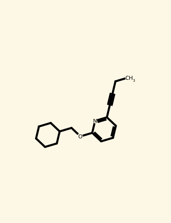 CCC#Cc1cccc(OCC2CCCCC2)n1